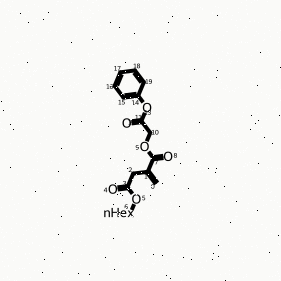 C=C(CC(=O)OCCCCCC)C(=O)OCC(=O)Oc1ccccc1